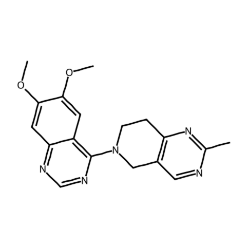 COc1cc2ncnc(N3CCc4nc(C)ncc4C3)c2cc1OC